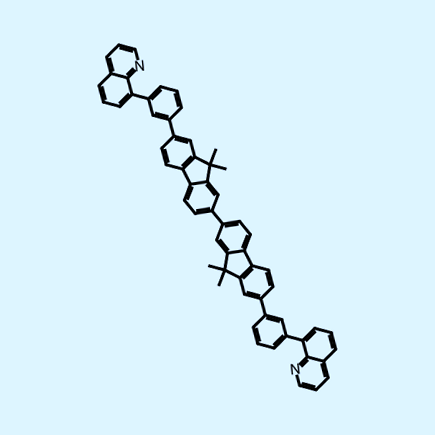 CC1(C)c2cc(-c3cccc(-c4cccc5cccnc45)c3)ccc2-c2ccc(-c3ccc4c(c3)C(C)(C)c3cc(-c5cccc(-c6cccc7cccnc67)c5)ccc3-4)cc21